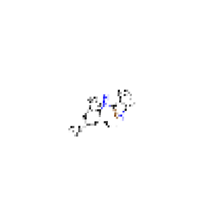 Cc1nsc(Nc2c([N+](=O)[O-])cc([N+](=O)[O-])cc2C(F)(F)F)c1[N+](=O)[O-]